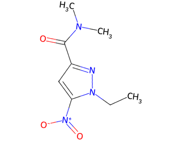 CCn1nc(C(=O)N(C)C)cc1[N+](=O)[O-]